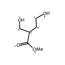 COC(=O)C(CO)CCO